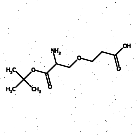 CC(C)(C)OC(=O)C(N)COCCC(=O)O